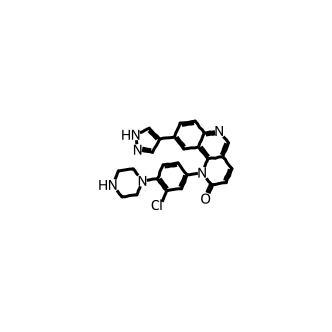 O=c1ccc2cnc3ccc(-c4cn[nH]c4)cc3c2n1-c1ccc(N2CCNCC2)c(Cl)c1